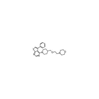 c1ccc(-c2csc3ncnc(N4CCC(COCCN5CCOCC5)CC4)c23)cc1